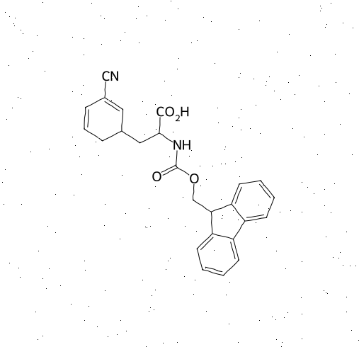 N#CC1=CC(CC(NC(=O)OCC2c3ccccc3-c3ccccc32)C(=O)O)CC=C1